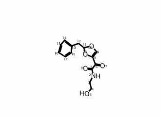 O=C(NCCO)C(=O)C1=COC(Cc2ccccc2)O1